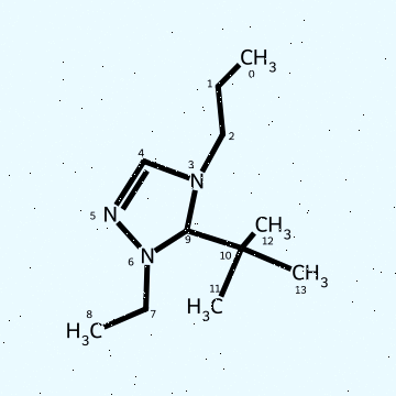 CCCN1C=NN(CC)C1C(C)(C)C